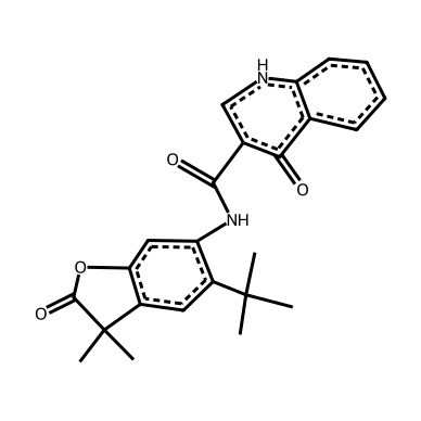 CC(C)(C)c1cc2c(cc1NC(=O)c1c[nH]c3ccccc3c1=O)OC(=O)C2(C)C